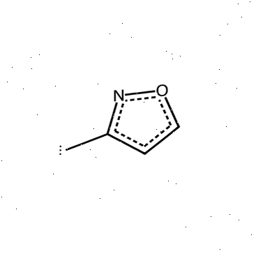 [C]c1ccon1